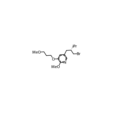 COCCCOc1cc(C[C@@H](CBr)C(C)C)cnc1OC